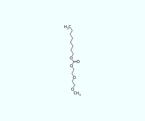 CCCCCCCCOC(=O)OCCOCCOC